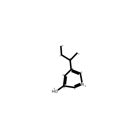 CCC(C)c1cncc(O)c1